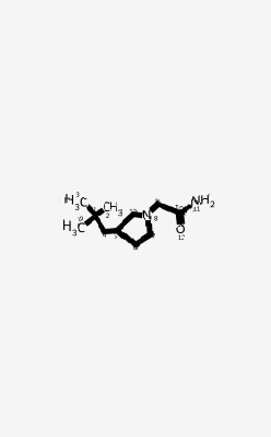 CC(C)(C)CC1CCN(CC(N)=O)C1